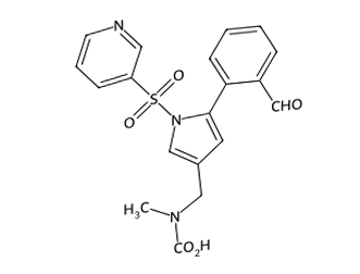 CN(Cc1cc(-c2ccccc2C=O)n(S(=O)(=O)c2cccnc2)c1)C(=O)O